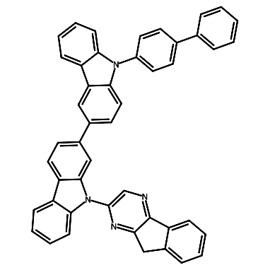 c1ccc(-c2ccc(-n3c4ccccc4c4cc(-c5ccc6c7ccccc7n(-c7cnc8c(n7)Cc7ccccc7-8)c6c5)ccc43)cc2)cc1